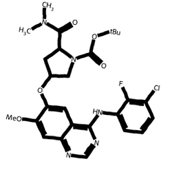 COc1cc2ncnc(Nc3cccc(Cl)c3F)c2cc1OC1CC(C(=O)N(C)C)N(C(=O)OC(C)(C)C)C1